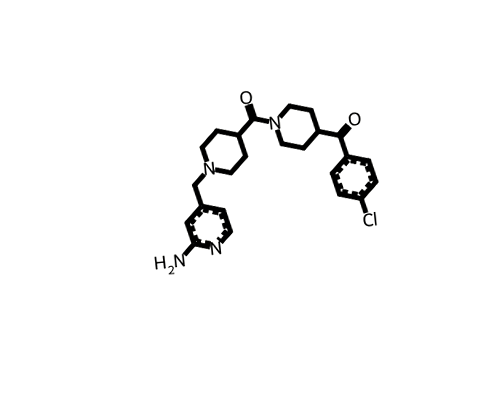 Nc1cc(CN2CCC(C(=O)N3CCC(C(=O)c4ccc(Cl)cc4)CC3)CC2)ccn1